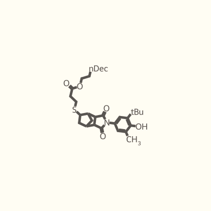 CCCCCCCCCCCCOC(=O)CCSC1CC2CC1C1C(=O)N(c3cc(C)c(O)c(C(C)(C)C)c3)C(=O)C21